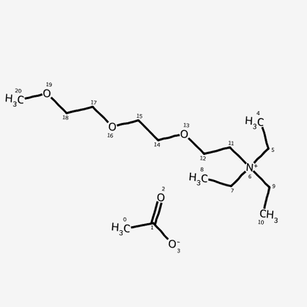 CC(=O)[O-].CC[N+](CC)(CC)CCOCCOCCOC